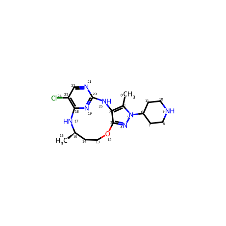 Cc1c2c(nn1C1CCNCC1)OCC[C@@H](C)Nc1nc(ncc1Cl)N2